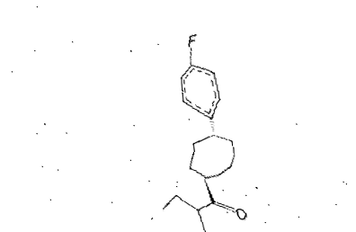 CCC(C)C(=O)[C@H]1CC[C@H](c2ccc(F)cc2)CC1